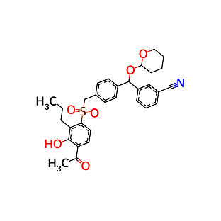 CCCc1c(S(=O)(=O)Cc2ccc(C(OC3CCCCO3)c3cccc(C#N)c3)cc2)ccc(C(C)=O)c1O